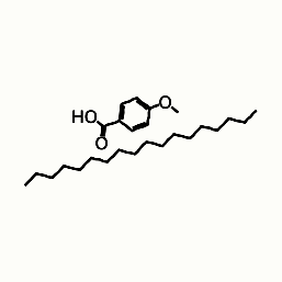 CCCCCCCCCCCCCCCCCC.COc1ccc(C(=O)O)cc1